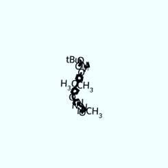 Cc1nc(-c2ncc(Oc3ccc(C(C)(C)c4ccc(OC[C@@H]5CCN5C(=O)OC(C)(C)C)cc4)cc3)cn2)no1